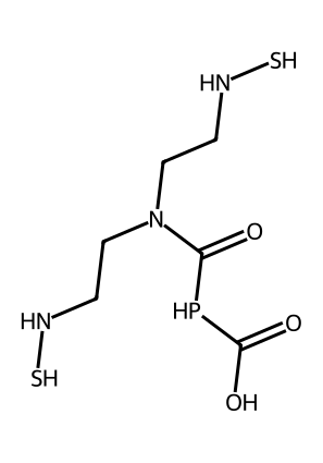 O=C(O)PC(=O)N(CCNS)CCNS